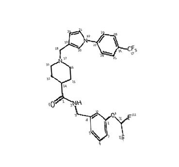 O=C(NCc1cccc(OC(F)F)c1)C1CCN(Cc2ccn(-c3ccc(C(F)(F)F)cc3)c2)CC1